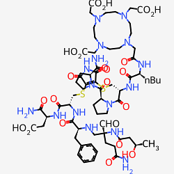 CCCC[C@H](NC(=O)CN1CCN(CC(=O)O)CCN(CC(=O)O)CCN(CC(=O)O)CC1)C(=O)N[C@@H](CSC1=C(SC[C@H](NC(=O)[C@H](Cc2ccccc2)NC[C@@](C=O)(CCC(N)=O)NC(=O)C[C@@H](C)O)C(=O)N[C@@H](CC(=O)O)C(N)=O)C(=O)NC1=O)C(=O)N1CCC[C@H]1C(=O)N1CCC[C@H]1C(N)=O